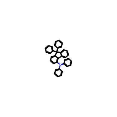 c1ccc(N(c2ccccc2)c2cccc3c2-c2ccccc2C3(c2ccccc2)c2ccccc2)cc1